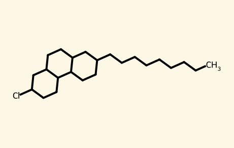 CCCCCCCCCC1CCC2C(CCC3CC(Cl)CCC32)C1